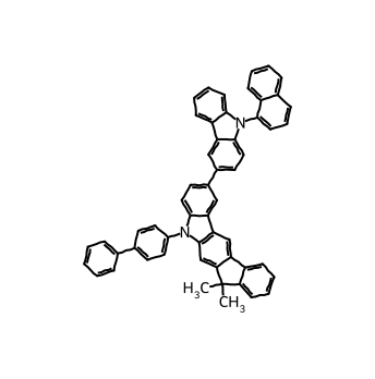 CC1(C)c2ccccc2-c2cc3c4cc(-c5ccc6c(c5)c5ccccc5n6-c5cccc6ccccc56)ccc4n(-c4ccc(-c5ccccc5)cc4)c3cc21